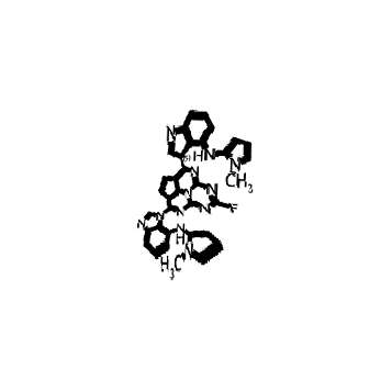 Cn1cccc1Nc1cccc2c1[C@@H](c1nc3nc(F)nc4nc(-n5cnc6cccc(Nc7cccn7C)c65)c5ccc1c5n34)C=N2